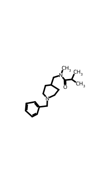 CC(C)C(=O)N(C)CC1CCN(Cc2ccccc2)CC1